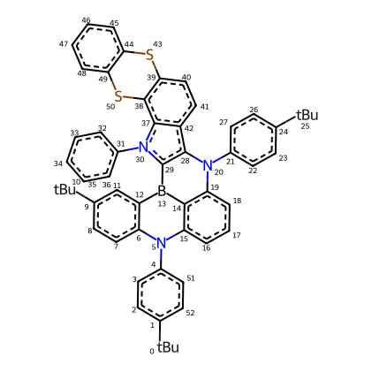 CC(C)(C)c1ccc(N2c3ccc(C(C)(C)C)cc3B3c4c2cccc4N(c2ccc(C(C)(C)C)cc2)c2c3n(-c3ccccc3)c3c4c(ccc23)Sc2ccccc2S4)cc1